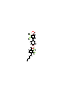 CCCCCc1ccc(COC2CCC(c3ccc(OC)c(F)c3F)CC2)c(F)c1F